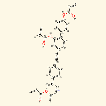 C=CC(=O)OC(=C)/C=C\C(=C)c1ccc(C#Cc2ccc(-c3ccc(OC(=O)C=C)cc3)c(OC(=O)C(=C)C)c2)cc1